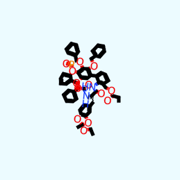 CCOC1(C)Oc2ccc(C[C@H](NC(=O)OCc3ccccc3)C(=O)Nc3c(COC(=O)CC)cccc3-c3cc(OCc4ccccc4)c(OP=O)c(OCc4ccccc4)c3OCc3ccccc3)cc2O1